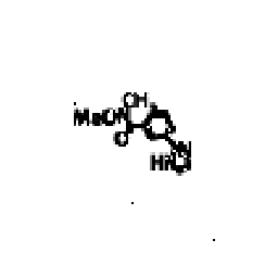 CON(C)C(=O)c1cccc(-c2ncc[nH]2)c1